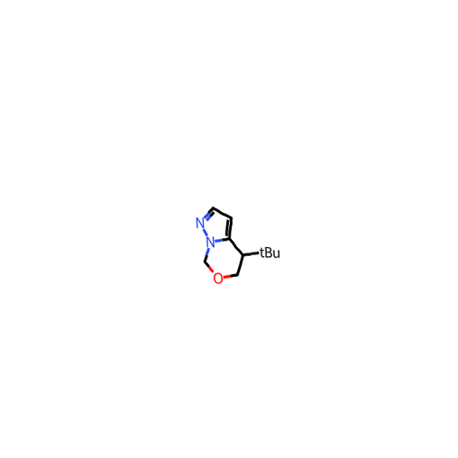 CC(C)(C)C1COCn2nccc21